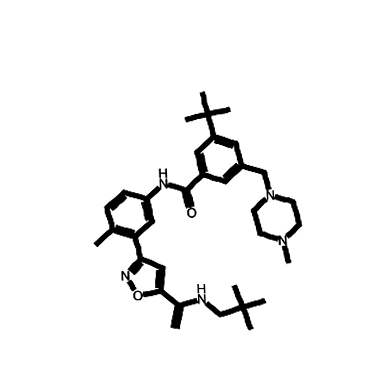 C=C(NCC(C)(C)C)c1cc(-c2cc(NC(=O)c3cc(CN4CCN(C)CC4)cc(C(C)(C)C)c3)ccc2C)no1